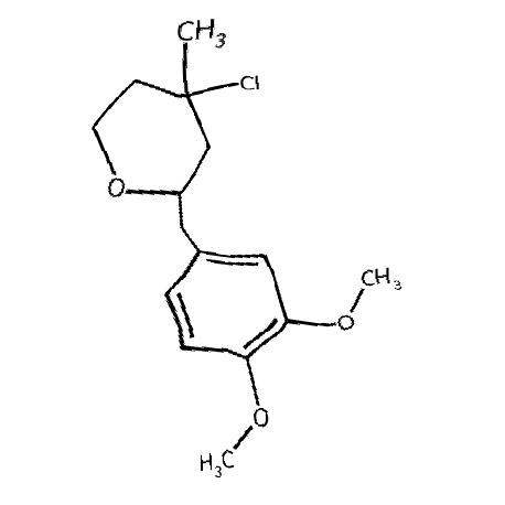 COc1ccc(C2CC(C)(Cl)CCO2)cc1OC